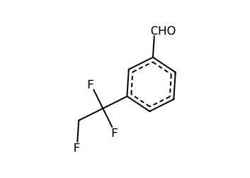 O=Cc1cccc(C(F)(F)CF)c1